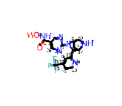 O=C(NO)c1cnc(N2C3CNC(C3)C2c2cc(C(F)(F)F)ccn2)nc1